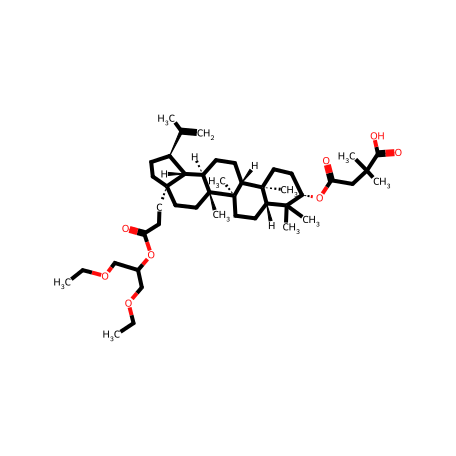 C=C(C)[C@@H]1CC[C@]2(CCC(=O)OC(COCC)COCC)CC[C@]3(C)[C@H](CC[C@@H]4[C@@]5(C)CC[C@H](OC(=O)CC(C)(C)C(=O)O)C(C)(C)[C@@H]5CC[C@]43C)[C@@H]12